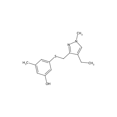 CCc1cn(C)nc1CSc1cc(C)cc(O)c1